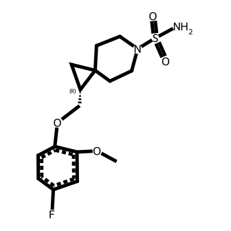 COc1cc(F)ccc1OC[C@@H]1CC12CCN(S(N)(=O)=O)CC2